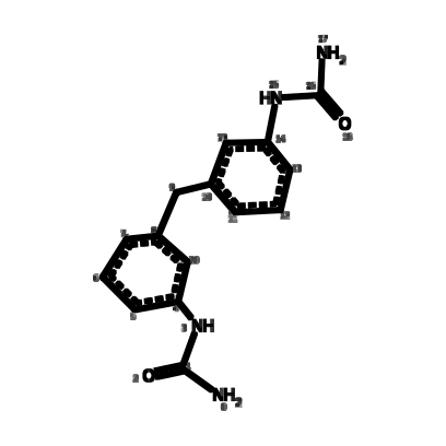 NC(=O)Nc1cc[c]c(Cc2[c]ccc(NC(N)=O)c2)c1